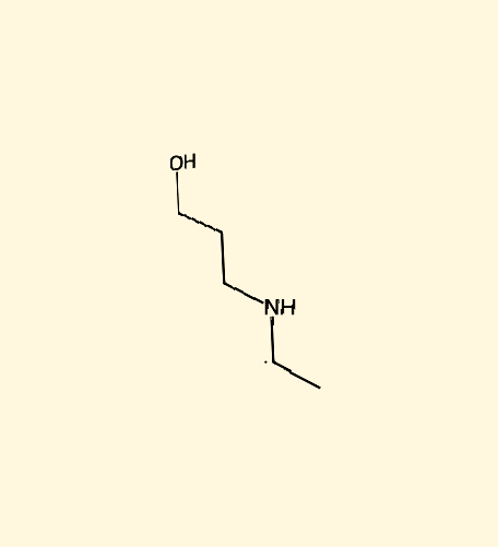 C[CH]NCCCO